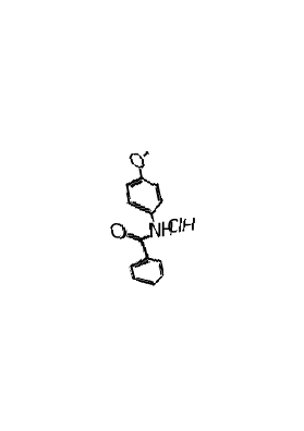 COc1ccc(NC(=O)c2ccccc2)cc1.Cl